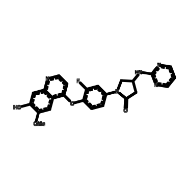 COc1cc2c(Oc3ccc(N4CC(Nc5ncccn5)CC4=O)cc3F)ccnc2cc1O